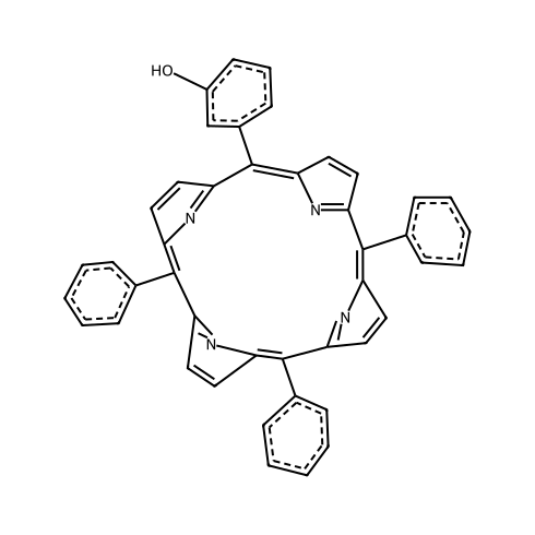 Oc1cccc(C2=C3C=CC(=N3)C(c3ccccc3)=C3C=CC(=N3)C(c3ccccc3)=C3C=CC(=N3)C(c3ccccc3)=C3C=CC2=N3)c1